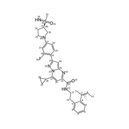 C/C=C(/C)c1ccccc1CCNC(=O)c1cc(C2CC2)n2nc(-c3ccc(N4CC[C@@H](S(C)(=N)=O)C4)cc3F)cc2n1